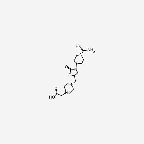 N=C(N)N1CCC(N2CC(CN3CCN(CC(=O)O)CC3)OC2=O)CC1